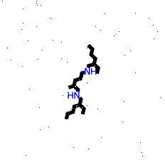 CCCCC(CC)CNCCCC(C)CNCC(CC)CCCC